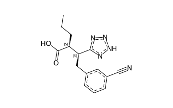 CCC[C@H](C(=O)O)[C@H](Cc1cccc(C#N)c1)c1nn[nH]n1